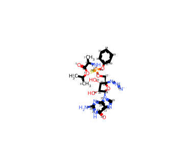 CC(C)OC(=O)C(C)NP(=S)(OC[C@@]1(N=[N+]=[N-])O[C@@H](n2cnc3c(=O)[nH]c(N)nc32)[C@H](O)[C@@H]1O)Oc1ccccc1